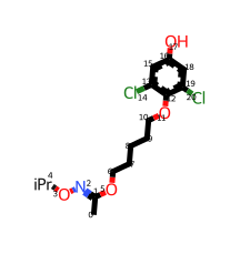 CC(=NOC(C)C)OCCCCCOc1c(Cl)cc(O)cc1Cl